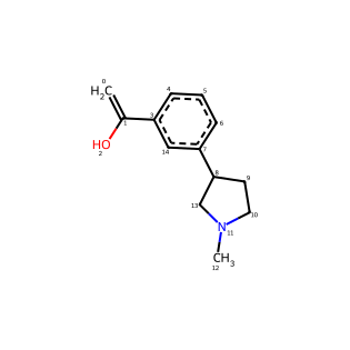 C=C(O)c1cccc(C2CCN(C)C2)c1